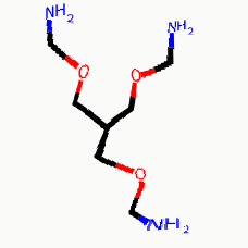 NCOCC(COCN)COCN